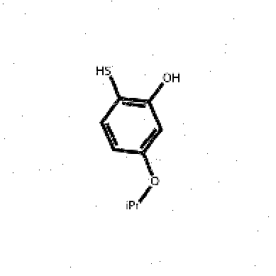 CC(C)Oc1ccc(S)c(O)c1